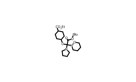 CCOC(=O)C1CCC(OC(C(=O)OC(C)(C)C)(N2CCCC2)N2CCCCO2)CC1